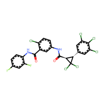 O=C(Nc1ccc(F)cc1F)c1cc(NC(=O)[C@H]2[C@H](c3cc(Cl)c(Cl)c(Cl)c3)C2(Cl)Cl)ccc1Cl